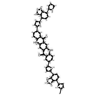 Cc1ccc(-c2ccc(-c3ccc(-c4ccc5[nH]c6cc7c(=O)c8cc(-c9ccc(-c%10ccc(-c%11cccs%11)c%11nsnc%10%11)s9)ccc8[nH]c7cc6c(=O)c5c4)s3)c3nsnc23)s1